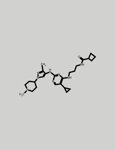 Cc1nn(C2CCN(C)CC2)cc1Nc1ncc(C2CC2)c(NCCCNC(=O)C2CCC2)n1